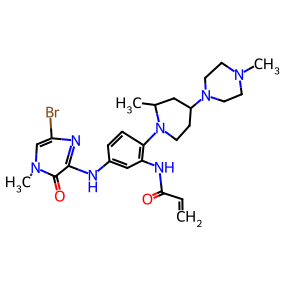 C=CC(=O)Nc1cc(Nc2nc(Br)cn(C)c2=O)ccc1N1CCC(N2CCN(C)CC2)CC1C